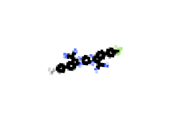 Cc1ccc(-c2ccc3c(c2)C(=C(C#N)C#N)c2nc4cc5nc6c(nc5cc4nc2-3)C(=C(C#N)C#N)c2cc(-c3ccc(C(F)(F)F)cc3)ccc2-6)cc1